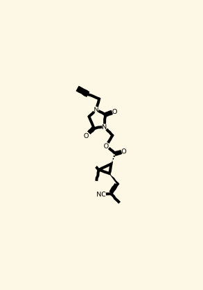 C#CCN1CC(=O)N(COC(=O)[C@@H]2[C@@H](/C=C(/C)C#N)C2(C)C)C1=O